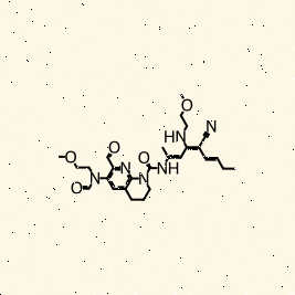 CC/C=C/C(C#N)=C(\C=C(/C)NC(=O)N1CCCc2cc(N(C=O)CCOC)c(C=O)nc21)NCCOC